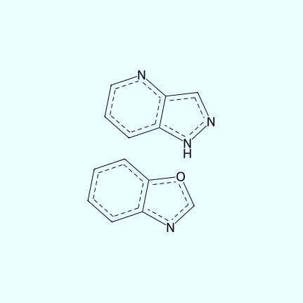 c1ccc2ocnc2c1.c1cnc2cn[nH]c2c1